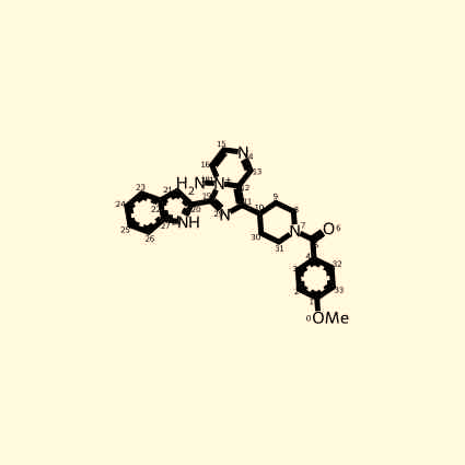 COc1ccc(C(=O)N2CCC(C3=C4C=NC=C[N+]4(N)C(c4cc5ccccc5[nH]4)=N3)CC2)cc1